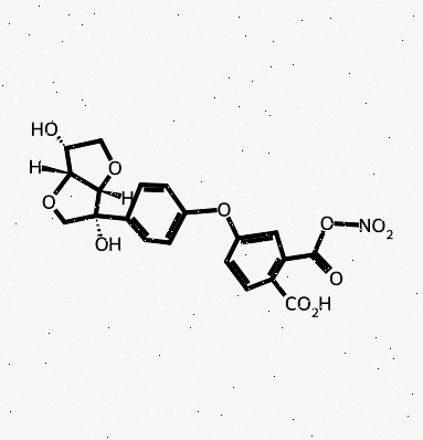 O=C(O)c1ccc(Oc2ccc([C@@]3(O)CO[C@@H]4[C@H](O)CO[C@@H]43)cc2)cc1C(=O)O[N+](=O)[O-]